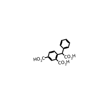 O=C(O)c1ccc(C(C(=O)O)c2ccccc2)c(C(=O)O)c1